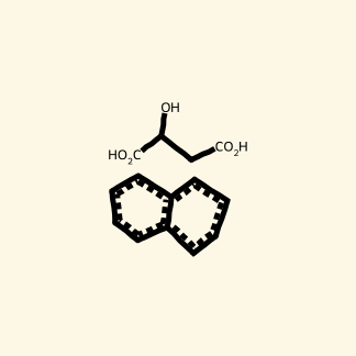 O=C(O)CC(O)C(=O)O.c1ccc2ccccc2c1